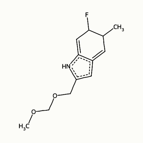 COCOCc1cc2c([nH]1)=CC(F)C(C)C=2